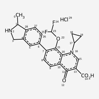 CC1NCc2cc(-c3ccc4c(=O)c(C(=O)O)cn(C5CC5)c4c3OC(F)F)ccc21.Cl